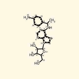 CC(Nc1ncnc2c1ncn2C1OC(CO)C(O)C1O)c1ccc(N)cc1